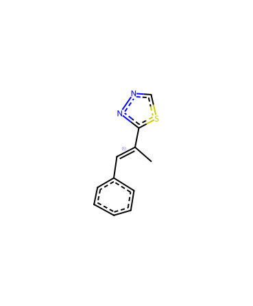 C/C(=C\c1ccccc1)c1nncs1